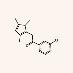 CC1=CC(C)=C(CC(=O)c2cccc(Cl)c2)C1C